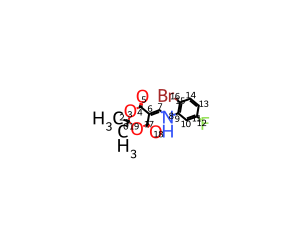 CC1(C)OC(=O)C(=CNc2cc(F)ccc2Br)C(=O)O1